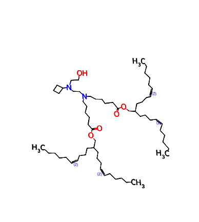 CCCCC/C=C\CCCC(CCC/C=C\CCCCC)COC(=O)CCCCCN(CCCCCC(=O)OCC(CCC/C=C\CCCCC)CCC/C=C\CCCCC)CCN(CCO)C1CCC1